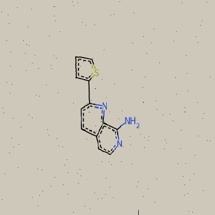 Nc1nccc2ccc(-c3cccs3)nc12